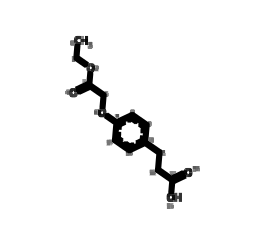 CCOC(=O)COc1ccc(CCC(=O)O)cc1